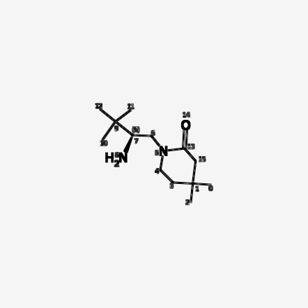 CC1(C)CCN(C[C@@H](N)C(C)(C)C)C(=O)C1